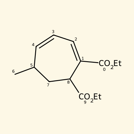 CCOC(=O)C1=CC=CC(C)CC1C(=O)OCC